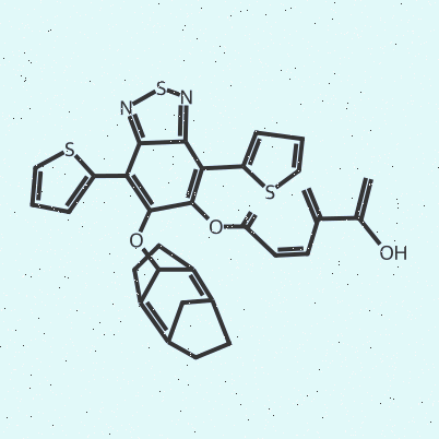 C=C(/C=C\C(=C)C(=C)O)Oc1c(OC2C3=C4CCC(=C2CC3)C4)c(-c2cccs2)c2nsnc2c1-c1cccs1